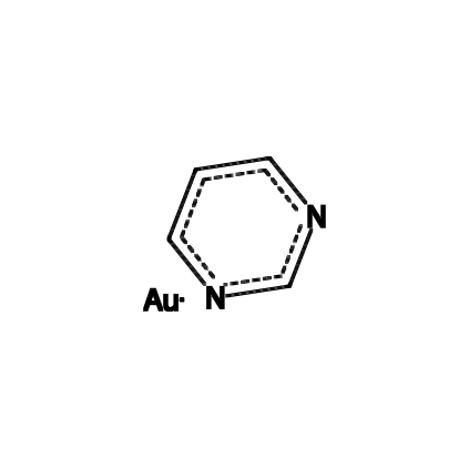 [Au].c1cncnc1